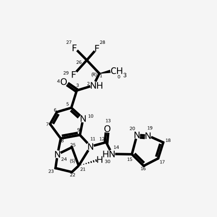 C[C@@H](NC(=O)c1ccc2c(n1)N(C(=O)Nc1cccnn1)[C@H]1CCN2C1)C(F)(F)F